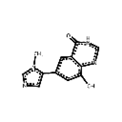 Cn1cncc1-c1cc(O)c2nc[nH]c(=O)c2c1